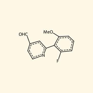 COc1cccc(F)c1-c1cc(C=O)ccn1